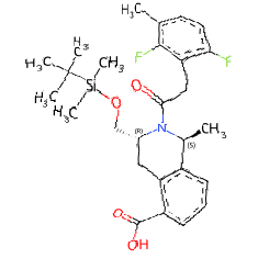 Cc1ccc(F)c(CC(=O)N2[C@@H](CO[Si](C)(C)C(C)(C)C)Cc3c(C(=O)O)cccc3[C@@H]2C)c1F